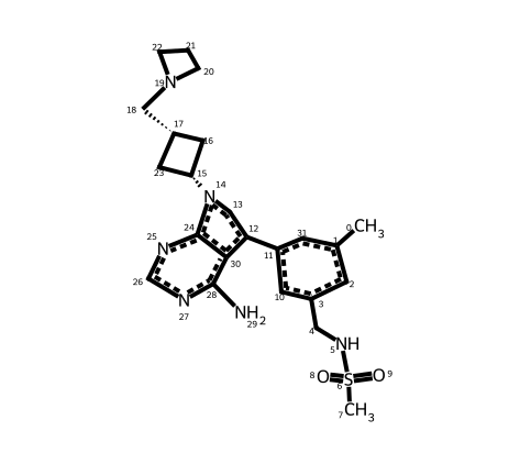 Cc1cc(CNS(C)(=O)=O)cc(-c2cn([C@H]3C[C@@H](CN4CCC4)C3)c3ncnc(N)c23)c1